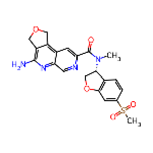 CN(C(=O)c1cc2c3c(c(N)nc2cn1)COC3)[C@H]1COc2cc(S(C)(=O)=O)ccc21